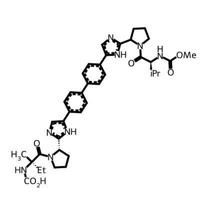 CC[C@@](C)(NC(=O)O)C(=O)N1CCC[C@H]1c1ncc(-c2ccc(-c3ccc(-c4cnc(C5CCCN5C(=O)[C@@H](NC(=O)OC)C(C)C)[nH]4)cc3)cc2)[nH]1